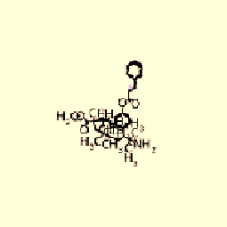 COC(=O)C(C)(CC(C)(C)C(C)(C)CC(c1ccc(OC(=O)/C=C/c2cc#ccc2)cc1)C(C)(C)N)C(C)(C)C